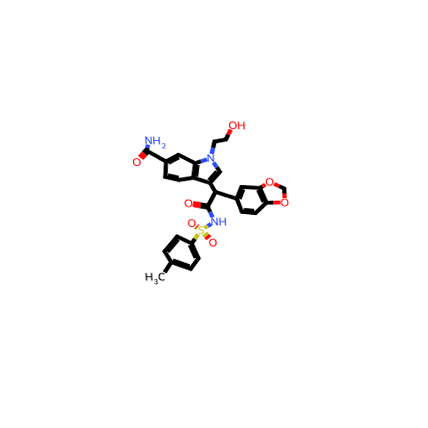 Cc1ccc(S(=O)(=O)NC(=O)C(c2ccc3c(c2)OCO3)c2cn(CCO)c3cc(C(N)=O)ccc23)cc1